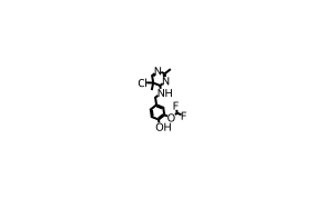 CC1=NC(NCc2ccc(O)c(OC(F)F)c2)C(C)(Cl)C=N1